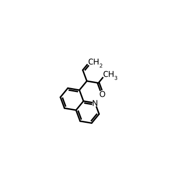 C=CC(C(C)=O)c1cccc2cccnc12